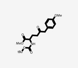 COC(=O)C(CCC(=O)Cc1ccc(OC)cc1)NC(=O)OC(C)(C)C